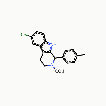 Cc1ccc(C2c3[nH]c4ccc(Cl)cc4c3CCN2C(=O)O)cc1